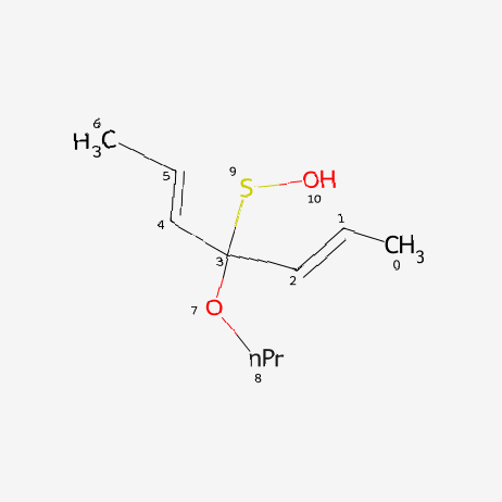 CC=CC(C=CC)(OCCC)SO